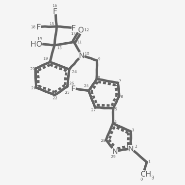 CCn1cc(-c2ccc(CN3C(=O)C(O)(C(F)(F)F)c4ccccc43)c(F)c2)cn1